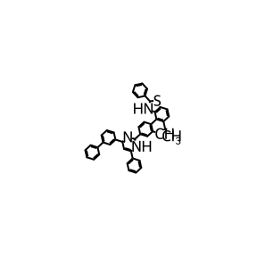 C#Cc1ccc2c(c1-c1ccc(C3N=C(c4cccc(-c5ccccc5)c4)C=C(c4ccccc4)N3)cc1C)NC(c1ccccc1)S2